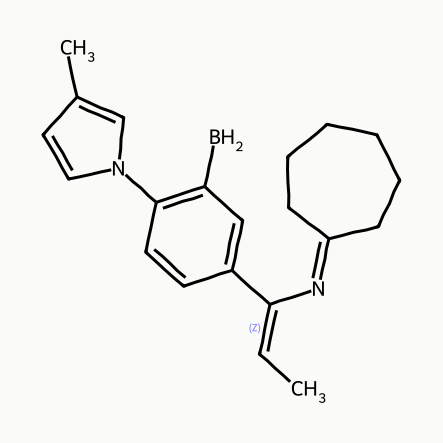 Bc1cc(/C(=C/C)N=C2CCCCCC2)ccc1-n1ccc(C)c1